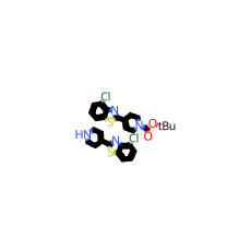 CC(C)(C)OC(=O)N1CC=C(c2nc3c(Cl)cccc3s2)CC1.Clc1cccc2sc(C3=CCNCC3)nc12